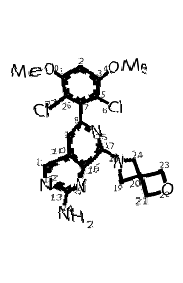 COc1cc(OC)c(Cl)c(-c2cc3cnc(N)nc3c(N3CC4(COC4)C3)n2)c1Cl